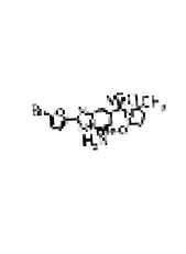 CO[C@H]1CC[C@](C)(OC)N1C(=O)c1cc(N)n2nc(-c3ccc(Br)o3)nc2c1